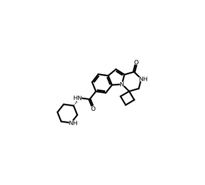 O=C(N[C@H]1CCCNC1)c1ccc2cc3n(c2c1)C1(CCC1)CNC3=O